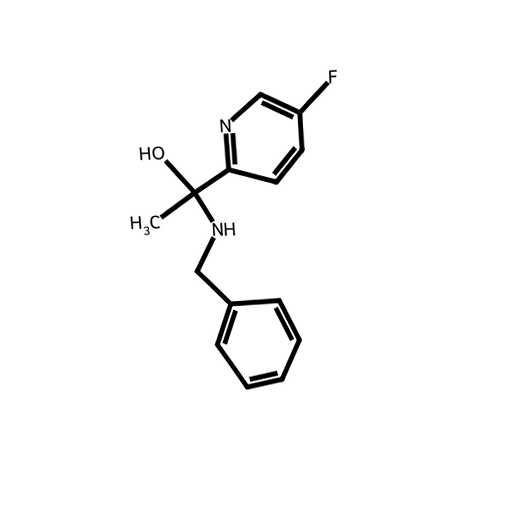 CC(O)(NCc1ccccc1)c1ccc(F)cn1